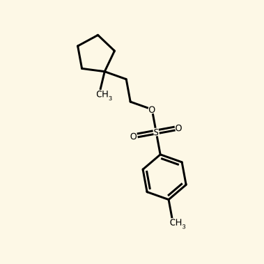 Cc1ccc(S(=O)(=O)OCCC2(C)CCCC2)cc1